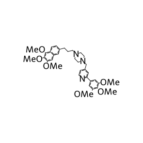 COc1cc(-c2cc(CN3CCN(CCCc4ccc5c(OC)c(OC)c(OC)cc5c4)CC3)ccn2)cc(OC)c1OC